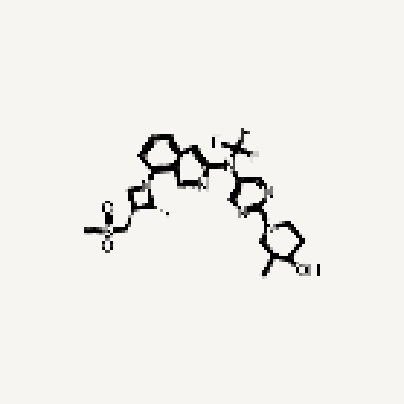 CC1CN(c2ncc(N(c3cc4cccc(N5C[C@H](CS(C)(=O)=O)[C@H]5C)c4cn3)C(F)(F)F)cn2)CCC1O